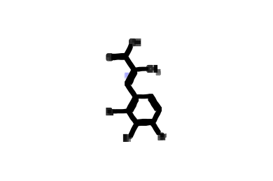 C/C(=C\c1ccc(Br)c(Br)c1Br)C(=O)O